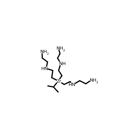 C[CH](C)[Zr]([CH2]CNCCN)([CH2]CNCCN)[CH2]CNCCN